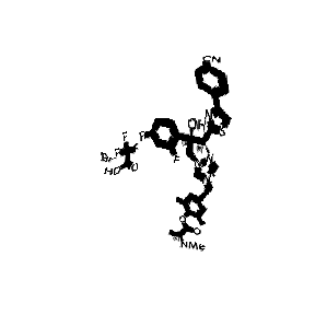 CN[C@@H](C)C(=O)Oc1c(C)cc(C[n+]2cnn(C[C@](O)(c3ccc(F)cc3F)[C@@H](C)c3nc(-c4ccc(C#N)cc4)cs3)c2)cc1C.O=C(O)C(F)(F)F.[Br-]